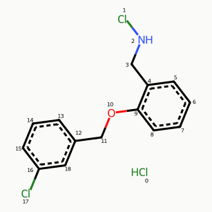 Cl.ClNCc1ccccc1OCc1cccc(Cl)c1